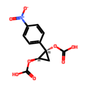 O=C(O)O[C@@H]1C[C@]1(OC(=O)O)c1ccc([N+](=O)[O-])cc1